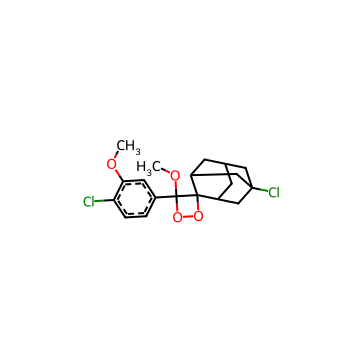 COc1cc(C2(OC)OOC23C2CC4CC3CC(Cl)(C4)C2)ccc1Cl